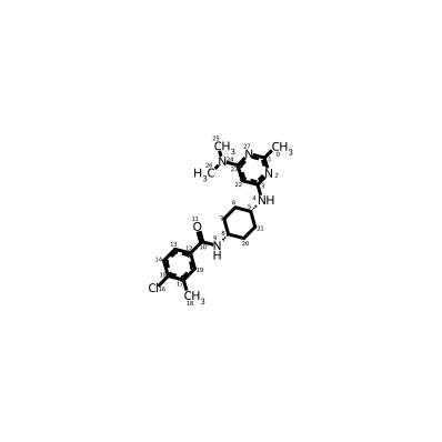 Cc1nc(N[C@H]2CC[C@@H](NC(=O)c3ccc(Cl)c(C)c3)CC2)cc(N(C)C)n1